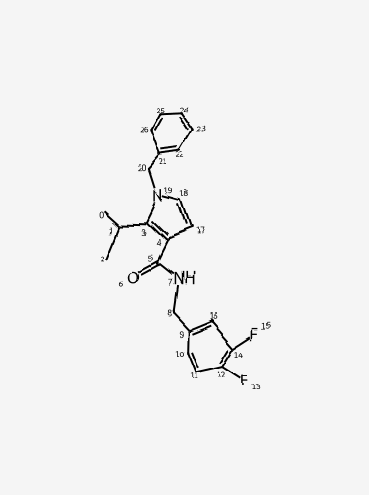 CC(C)c1c(C(=O)NCc2ccc(F)c(F)c2)ccn1Cc1ccccc1